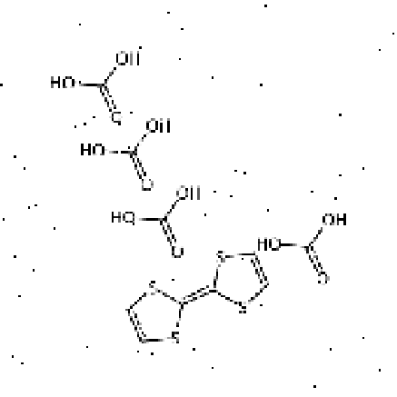 C1=CSC(=C2SC=CS2)S1.O=C(O)O.O=C(O)O.O=C(O)O.O=C(O)O